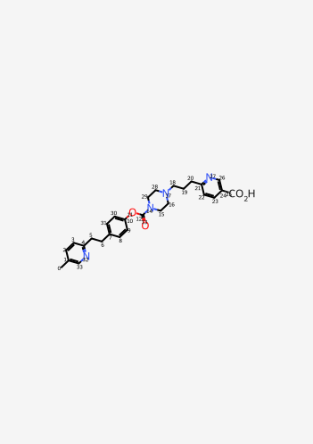 Cc1ccc(CCc2ccc(OC(=O)N3CCN(CCCc4ccc(C(=O)O)cn4)CC3)cc2)nc1